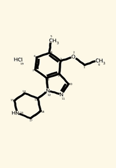 CCOc1c(C)ccc2c1cnn2C1CCNCC1.Cl